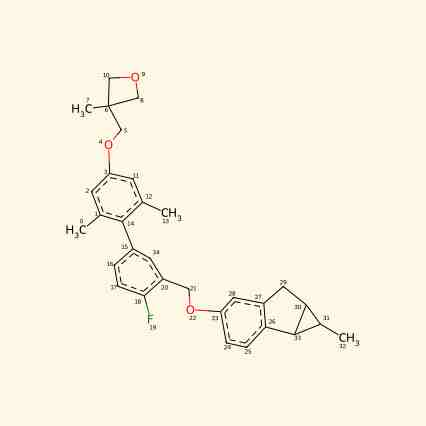 Cc1cc(OCC2(C)COC2)cc(C)c1-c1ccc(F)c(COc2ccc3c(c2)CC2C(C)C32)c1